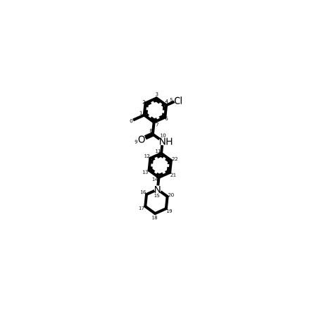 Cc1ccc(Cl)cc1C(=O)Nc1ccc(N2CCCCC2)cc1